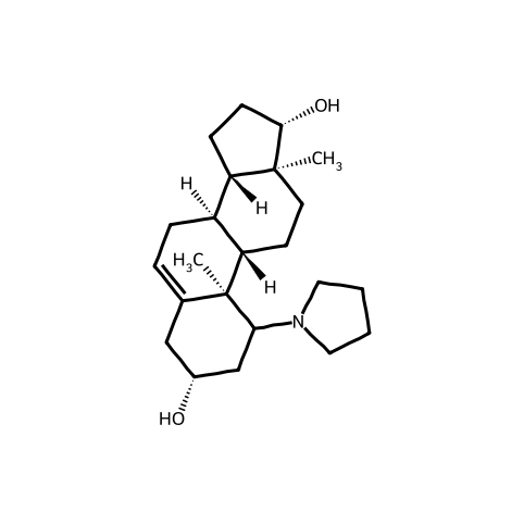 C[C@]12CC[C@H]3[C@@H](CC=C4C[C@@H](O)CC(N5CCCC5)[C@@]43C)[C@@H]1CC[C@@H]2O